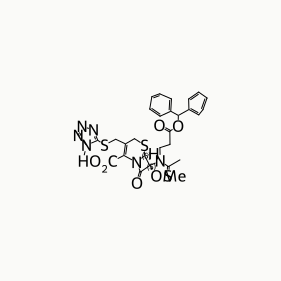 CO[C@@]1(N(CCC(=O)OC(c2ccccc2)c2ccccc2)C(C)=S)C(=O)N2C(C(=O)O)=C(CSc3nnnn3C)CS[C@H]21